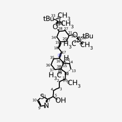 C[C@H](CCCC(O)c1nccs1)[C@H]1CC[C@H]2/C(=C/C=C3CC(O[Si](C)(C)C(C)(C)C)CC(O[Si](C)(C)C(C)(C)C)C3)CCC[C@]12C